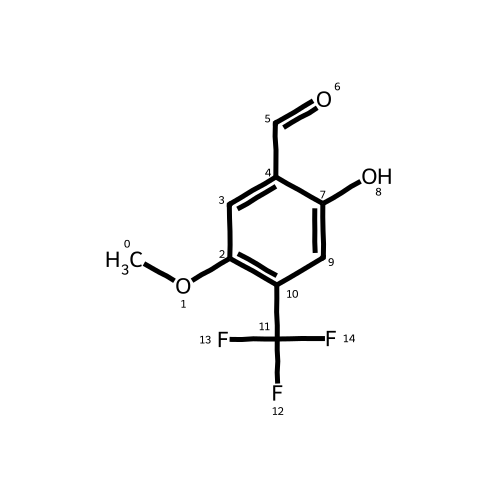 COc1cc(C=O)c(O)cc1C(F)(F)F